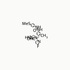 CSc1ccc(NC(=O)Nc2ccc(CC(c3ccc(F)cn3)N(C=O)CCc3c[nH]cn3)c(C)c2)cc1